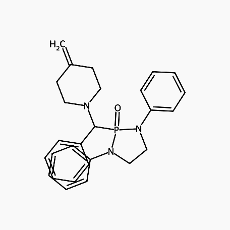 C=C1CCN(C(c2ccccc2)P2(=O)N(c3ccccc3)CCN2c2ccccc2)CC1